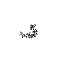 CCC(C)C(=O)OCc1ccc(NC(=O)[C@H](C)NC(=O)[C@@H](NC(=O)CCN2C(=O)C=CC2=O)C(C)C)cc1